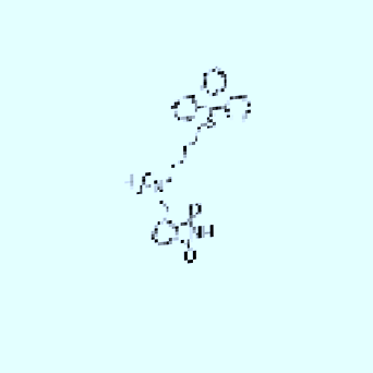 CN(CCCCCCSC(c1ccccc1)(c1ccccc1)c1ccccc1)CCc1cccc2c1C(=O)NC2=O